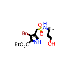 CCOC(=O)c1[nH]cc(CS(=O)(=O)N[C@H](C)C=CO)c1Br